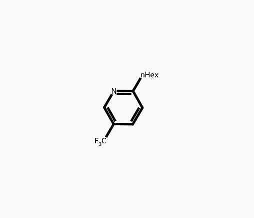 [CH2]CCCCCc1ccc(C(F)(F)F)cn1